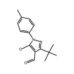 Cc1ccc(-n2nc(C(C)(C)C)c(C=O)c2Cl)cc1